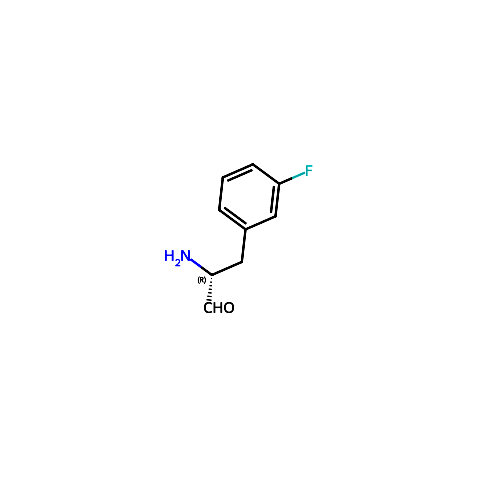 N[C@@H](C=O)Cc1cccc(F)c1